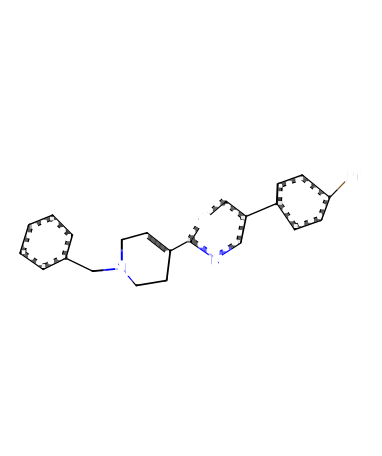 Brc1ccc(-c2ccc(C3=CCN(Cc4ccccc4)CC3)nc2)cc1